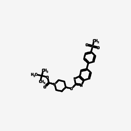 CC(C)(C)OC(=O)N1CCC(Oc2nc3ccc(-c4ccc(S(C)(=O)=O)cc4)cc3s2)CC1